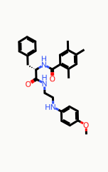 COc1ccc(NCCNC(=O)[C@H](Cc2ccccc2)NC(=O)c2cc(C)c(C)cc2C)cc1